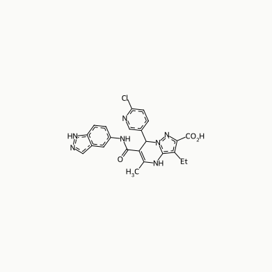 CCc1c(C(=O)O)nn2c1NC(C)=C(C(=O)Nc1ccc3[nH]ncc3c1)C2c1ccc(Cl)nc1